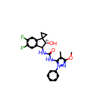 COc1nn(-c2ccccc2)c(NC(=O)NC2c3cc(F)c(F)cc3C3(CC3)[C@H]2O)c1C